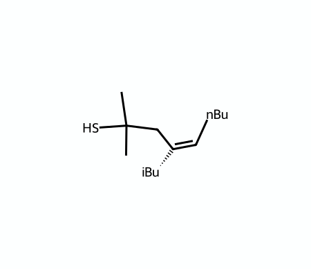 CCCC/C=C(\CC(C)(C)S)[C@@H](C)CC